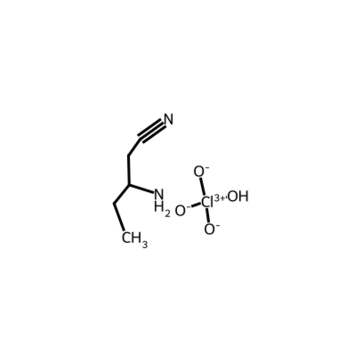 CCC(N)CC#N.[O-][Cl+3]([O-])([O-])O